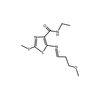 CCNC(=O)c1nc(SC)sc1/N=C/CCOC